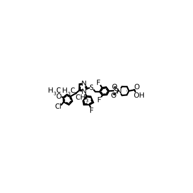 COc1cc(C(C)(C)c2cnc(SCc3c(F)cc(S(=O)(=O)N4CC[C](C(=O)O)CC4)cc3F)n2-c2ccc(F)cc2)ccc1Cl